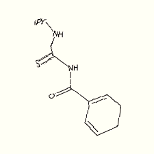 CC(C)NC(=S)NC(=O)C1=CCCC=C1